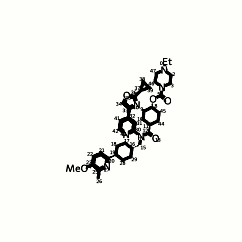 CCN1CCN(C(=O)O[C@H]2CC[C@H](C(=O)N(C[C@H]3CC[C@H](c4ccc(OC)c(C)n4)CC3)c3cc(-c4coc(C5CC5)n4)ccn3)CC2)CC1